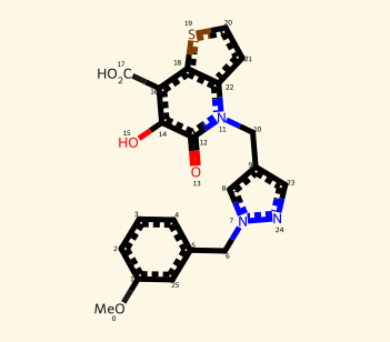 COc1cccc(Cn2cc(Cn3c(=O)c(O)c(C(=O)O)c4sccc43)cn2)c1